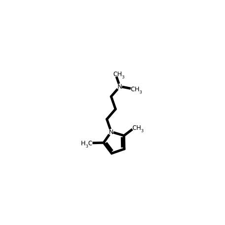 Cc1ccc(C)n1CCCN(C)C